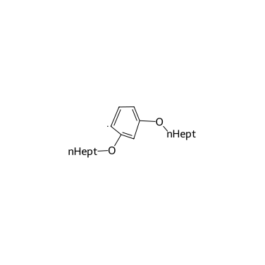 CCCCCCCOc1[c]ccc(OCCCCCCC)c1